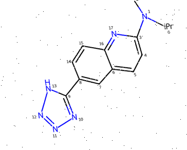 CC(C)N(C)c1ccc2cc(-c3nnn[nH]3)ccc2n1